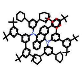 CC(C)(C)c1cc(-c2cc(-c3cc(C(C)(C)C)cc(C(C)(C)C)c3)cc(N(c3cc(C4CCCCC4)cc(C4CCCCC4)c3)c3c4ccccc4c(N(c4cc(-c5cc(C(C)(C)C)cc(C(C)(C)C)c5)cc(-c5cc(C(C)(C)C)cc(C(C)(C)C)c5)c4)c4cc(C5CCCCC5)cc(C5CCCCC5)c4)c4cc(-c5ccccc5)ccc34)c2)cc(C(C)(C)C)c1